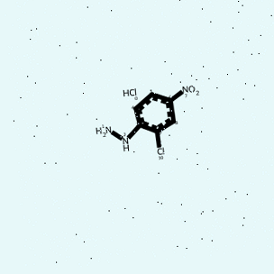 Cl.NNc1ccc([N+](=O)[O-])cc1Cl